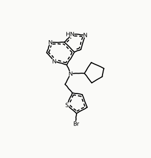 Brc1ccc(CN(c2ncnc3[nH]ncc23)C2CCCC2)s1